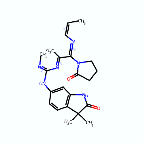 C\C=C/N=C(\C(C)=N\C(=N/C)Nc1ccc2c(c1)NC(=O)C2(C)C)N1CCCC1=O